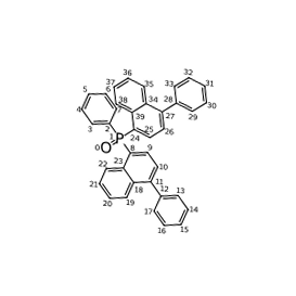 O=P(c1ccccc1)(c1ccc(-c2ccccc2)c2ccccc12)c1ccc(-c2ccccc2)c2ccccc12